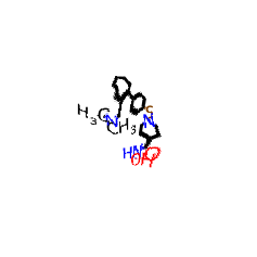 CN(C)CC1=C(c2ccc(SN3CC=C(C(=O)NO)CC3)cc2)C=CCC=C1